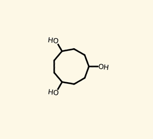 OC1CCC(O)CCC(O)CC1